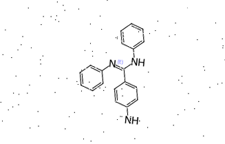 [NH]c1ccc(/C(=N\c2ccccc2)Nc2ccccc2)cc1